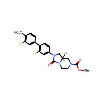 CC(C)(C)OC(=O)N1CCN2C(=O)N(c3ccc(-c4ccc(C(=O)O)c(F)c4)c(F)c3)C[C@@H]2C1